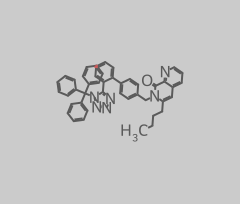 CCCCc1cc2cccnc2c(=O)n1Cc1ccc(-c2ccccc2-c2nnnn2C(c2ccccc2)(c2ccccc2)c2ccccc2)cc1